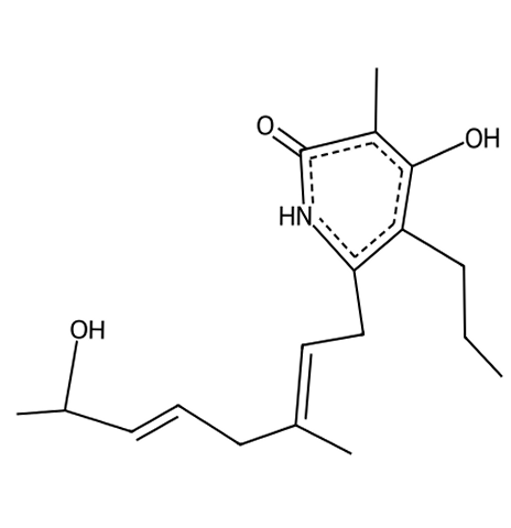 CCCc1c(C/C=C(\C)C/C=C/C(C)O)[nH]c(=O)c(C)c1O